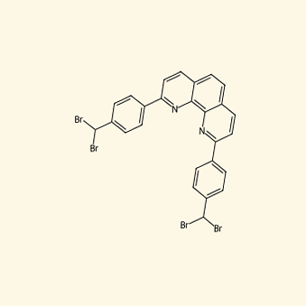 BrC(Br)c1ccc(-c2ccc3ccc4ccc(-c5ccc(C(Br)Br)cc5)nc4c3n2)cc1